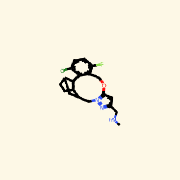 CNCc1cc2n(n1)CC1CC3CCC1C3c1c(Cl)ccc(F)c1CO2